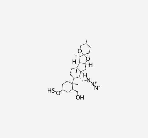 CC1CC[C@@]2(OC1)O[C@H]1C[C@H]3[C@H](CN=[N+]=[N-])[C@@H]([C@@]4(C)CC[C@H](OS)C[C@@H]4CO)CC[C@]3(C)[C@H]1[C@@H]2C